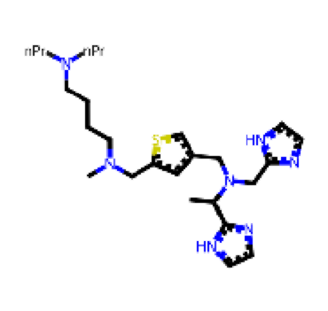 CCCN(CCC)CCCCN(C)Cc1cc(CN(Cc2ncc[nH]2)C(C)c2ncc[nH]2)cs1